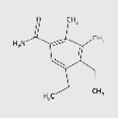 CCc1cc(C(N)=O)c(C)c(C)c1CC